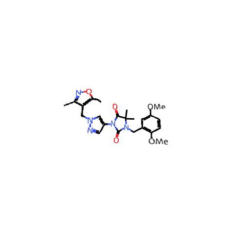 COc1ccc(OC)c(CN2C(=O)N(c3cnn(Cc4c(C)noc4C)c3)C(=O)C2(C)C)c1